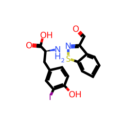 N[C@@H](Cc1ccc(O)c(I)c1)C(=O)O.O=Cc1nsc2ccccc12